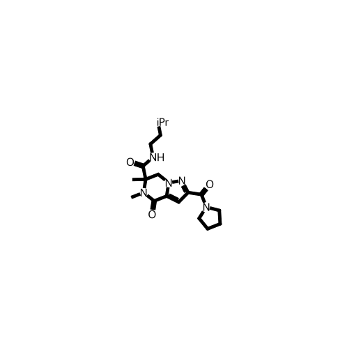 CC(C)CCNC(=O)C1(C)Cn2nc(C(=O)N3CCCC3)cc2C(=O)N1C